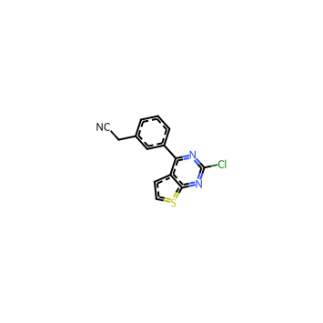 N#CCc1cccc(-c2nc(Cl)nc3sccc23)c1